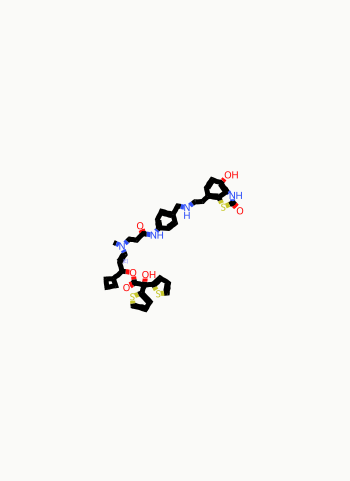 CN(/C=C/C(OC(=O)C(O)(c1cccs1)c1cccs1)C1CCC1)CCC(=O)Nc1ccc(CNCCc2ccc(O)c3[nH]c(=O)sc23)cc1